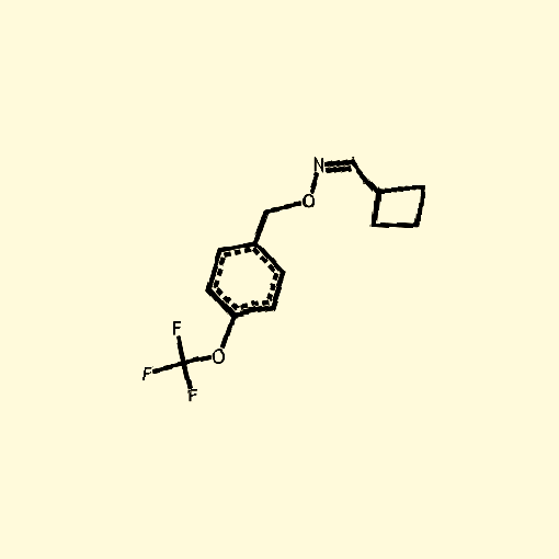 FC(F)(F)Oc1ccc(CO/N=[C]\C2CCC2)cc1